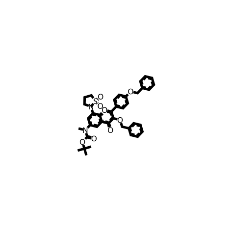 CN(C(=O)OC(C)(C)C)c1cc(N2CCCS2(=O)=O)c2oc(-c3ccc(OCc4ccccc4)cc3)c(OCc3ccccc3)c(=O)c2c1